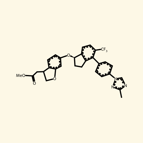 COC(=O)CC1COc2cc(O[C@@H]3CCc4c3ccc(C(F)(F)F)c4-c3ccc(-n4cnc(C)n4)cc3)ccc21